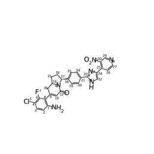 Nc1ccc(Cl)c(F)c1C1=CC(=O)N2C(CC[C@H]2c2ccc(-c3nc(-c4ccncc4[N+](=O)[O-])c[nH]3)cc2)C1